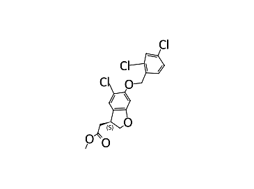 COC(=O)C[C@@H]1COc2cc(OCc3ccc(Cl)cc3Cl)c(Cl)cc21